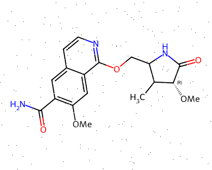 COc1cc2c(OCC3NC(=O)[C@H](OC)C3C)nccc2cc1C(N)=O